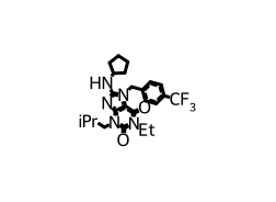 CCn1c(=O)c2c(nc(NC3CCCC3)n2Cc2ccc(C(F)(F)F)cc2)n(CC(C)C)c1=O